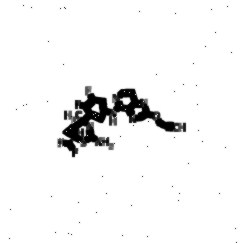 C#CCOc1cnc2c(Nc3cc(F)c(F)c([C@]4(C)N=C(N)S[C@@]5(C(F)F)C[C@@H]45)c3)nccc2n1